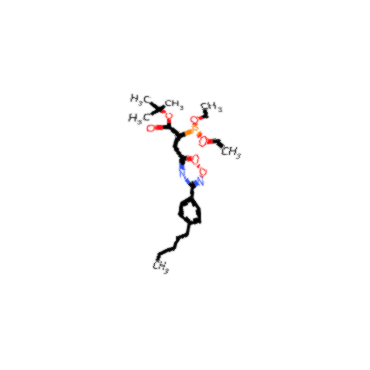 CCCCCc1ccc(C2=NOOC(CC(C(=O)OC(C)(C)C)P(OCC)OCC)=N2)cc1